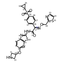 O=C(Nc1nc2ccc(OC3CNC3)nc2s1)/C(=N/OCc1nccs1)c1ccc(S(=O)(=O)C2CC2)cc1